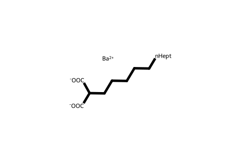 CCCCCCCCCCCCC(C(=O)[O-])C(=O)[O-].[Ba+2]